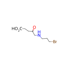 O=C(O)CCC(=O)CNCCCBr